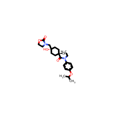 CCN(c1ccc(OC(C)C)cc1)C(=O)[C@]1(C)CC[C@@](O)(CN2CCOC2=O)CC1